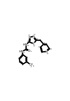 O=C(Nc1cccc(C(F)(F)F)c1)Nc1nnc(Cc2ccncc2)s1